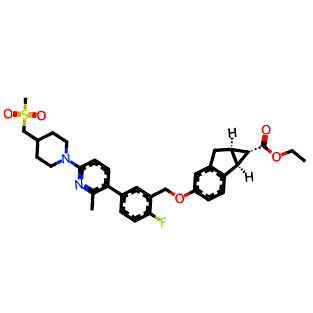 CCOC(=O)[C@H]1[C@@H]2Cc3cc(OCc4cc(-c5ccc(N6CCC(CS(C)(=O)=O)CC6)nc5C)ccc4F)ccc3[C@@H]21